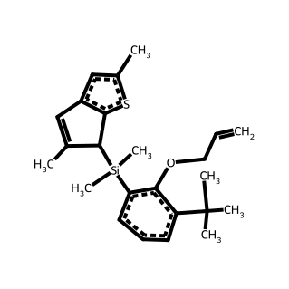 C=CCOc1c(C(C)(C)C)cccc1[Si](C)(C)C1C(C)=Cc2cc(C)sc21